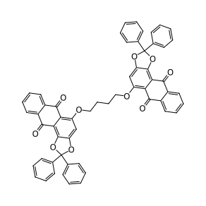 O=C1c2ccccc2C(=O)c2c3c(cc(OCCCCOc4cc5c(c6c4C(=O)c4ccccc4C6=O)OC(c4ccccc4)(c4ccccc4)O5)c21)OC(c1ccccc1)(c1ccccc1)O3